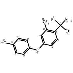 CCC(N)(CC)c1ccc(Oc2ccc(O)cc2)cc1C(F)(F)F